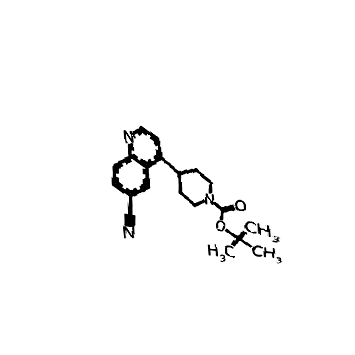 CC(C)(C)OC(=O)N1CCC(c2ccnc3ccc(C#N)cc23)CC1